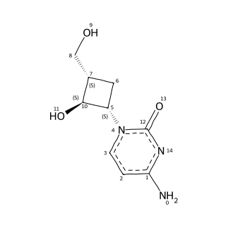 Nc1ccn([C@H]2C[C@@H](CO)[C@@H]2O)c(=O)n1